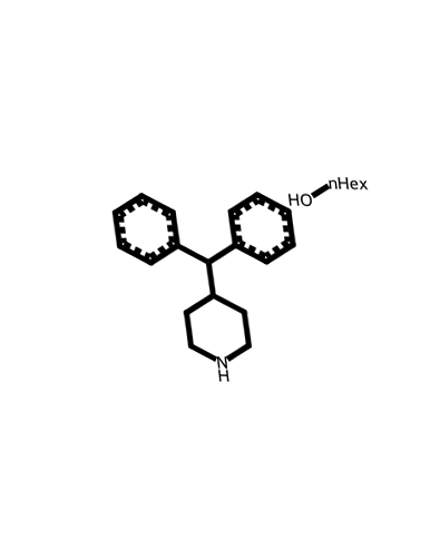 CCCCCCO.c1ccc(C(c2ccccc2)C2CCNCC2)cc1